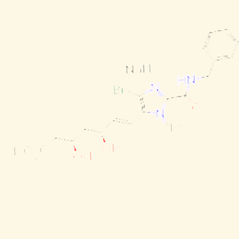 CC(C)n1c(C(=O)NCc2ccccc2)nc(Br)c1C=C[C@@H](O)C[C@@H](O)CC(=O)O.[NaH]